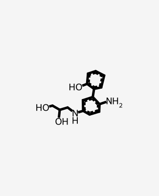 Nc1ccc(NCC(O)CO)cc1-c1ccccc1O